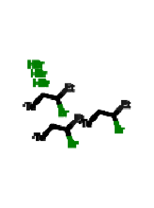 Br.Br.Br.CCC(Br)C[Te].CCC(Br)C[Te].CCC(Br)C[Te]